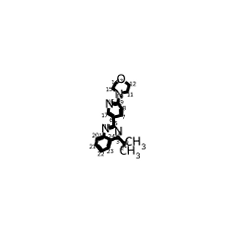 CC(C)c1nc(-c2ccc(N3CCOCC3)nc2)nc2ccccc12